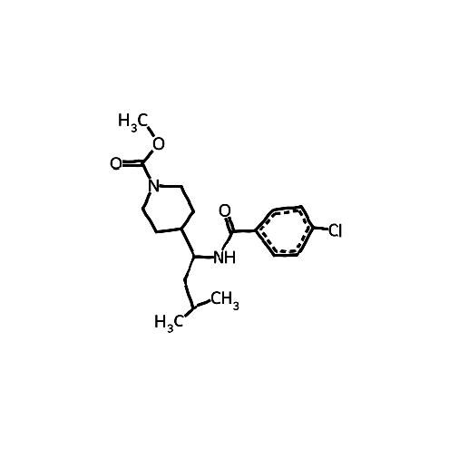 COC(=O)N1CCC(C(CC(C)C)NC(=O)c2ccc(Cl)cc2)CC1